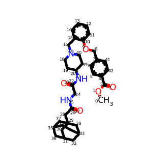 COC(=O)c1ccc(COc2ccccc2CN2CCC(NC(=O)CNC(=O)CC34CC5CC(CC(C5)C3)C4)CC2)cc1